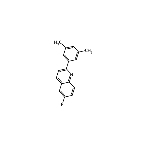 Cc1cc(C)cc(-c2ccc3cc(F)ccc3n2)c1